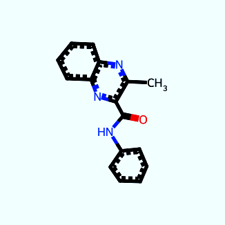 Cc1nc2ccccc2nc1C(=O)Nc1ccccc1